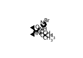 CC(C)(C)OC(=O)N[C@H](C(=O)Nc1ccc(Br)nc1)C(C1CC1)C1CC1